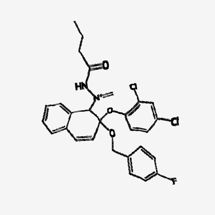 C=[N+](NC(=O)CCC)C1c2ccccc2C=CC1(OCc1ccc(F)cc1)Oc1ccc(Cl)cc1Cl